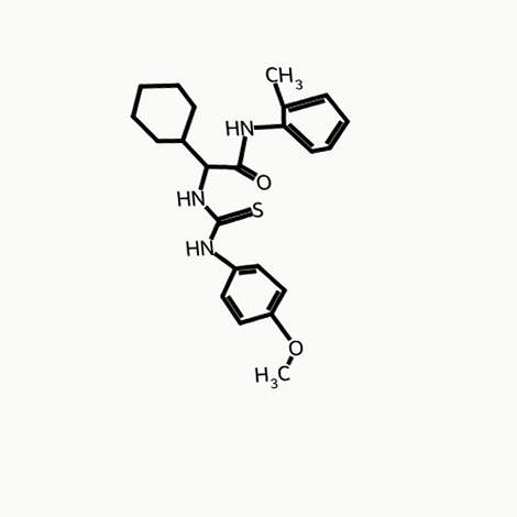 COc1ccc(NC(=S)NC(C(=O)Nc2ccccc2C)C2CCCCC2)cc1